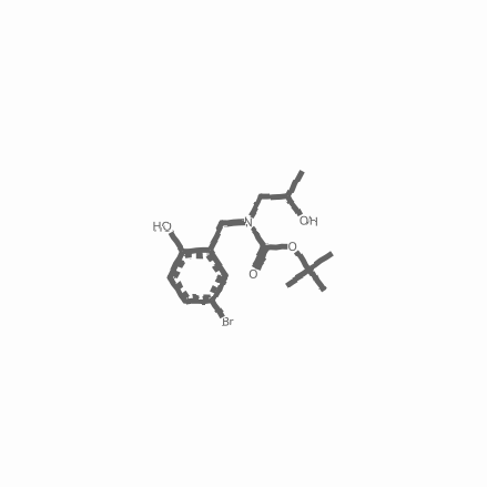 CC(O)CN(Cc1cc(Br)ccc1O)C(=O)OC(C)(C)C